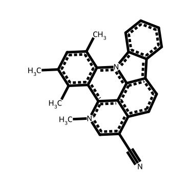 Cc1cc(C)c2c(c1C)c1c3c(ccc4c5ccccc5n2c43)c(C#N)c[n+]1C